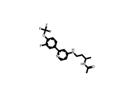 CC(=O)NC(C)CCNc1ccnc(-c2ccc(OC(F)(F)F)c(F)c2)c1